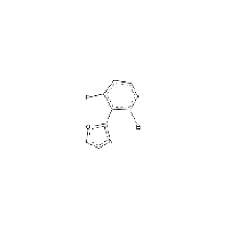 Fc1cccc(Br)c1-c1ncco1